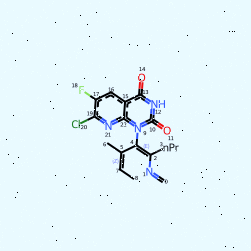 C=N/C(CCC)=C(\C(C)=C/C)n1c(=O)[nH]c(=O)c2cc(F)c(Cl)nc21